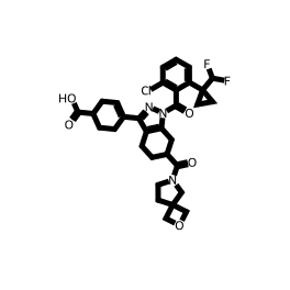 O=C(O)C1CC=C(c2nn(C(=O)c3c(Cl)cccc3C3(C(F)F)CC3)c3c2CCC(C(=O)N2CCC4(COC4)C2)C3)CC1